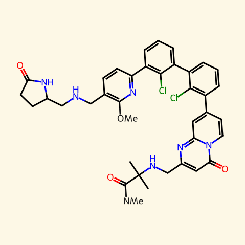 CNC(=O)C(C)(C)NCc1cc(=O)n2ccc(-c3cccc(-c4cccc(-c5ccc(CNCC6CCC(=O)N6)c(OC)n5)c4Cl)c3Cl)cc2n1